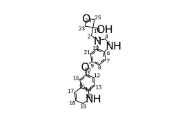 OC1(CN2CNc3ccc(Oc4ccc5c(c4)C=CCN5)cc32)COC1